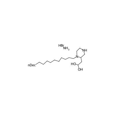 Br.CCCCCCCCCCCCCCCCCCCCN1CCNCC1CC(O)O.N